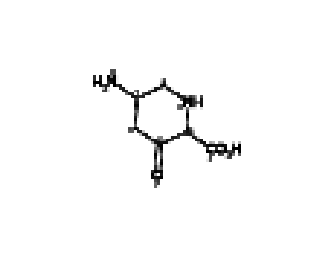 NC1CNC(C(=O)O)C(=O)C1